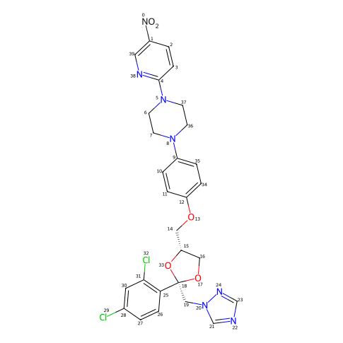 O=[N+]([O-])c1ccc(N2CCN(c3ccc(OC[C@@H]4CO[C@@](Cn5cncn5)(c5ccc(Cl)cc5Cl)O4)cc3)CC2)nc1